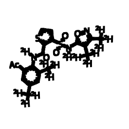 [2H]N(C(=O)c1sccc1S(=O)(=O)N([2H])c1onc(C([2H])([2H])[2H])c1C([2H])([2H])[2H])c1c(C(C)=O)cc(C([2H])([2H])[2H])cc1C([2H])([2H])[2H]